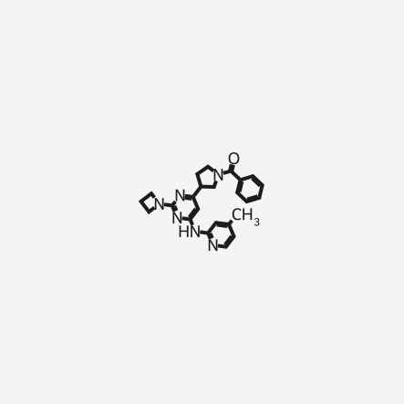 Cc1ccnc(Nc2cc(C3CCN(C(=O)c4ccccc4)C3)nc(N3CCC3)n2)c1